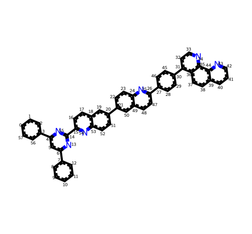 c1ccc(-c2cc(-c3ccccc3)nc(-c3ccc4cc(-c5ccc6nc(-c7ccc(-c8ccnc9c8ccc8cccnc89)cc7)ccc6c5)ccc4n3)n2)cc1